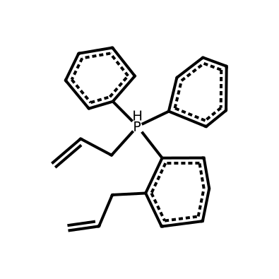 C=CCc1ccccc1[PH](CC=C)(c1ccccc1)c1ccccc1